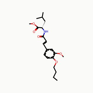 CCCCOc1ccc(/C=C/C(=O)N[C@@H](CC(C)C)C(=O)OC)cc1OC